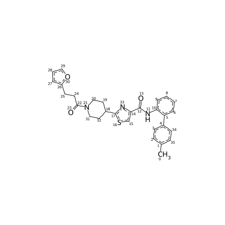 Cc1ccc(-c2ccccc2NC(=O)c2csc(C3CCN(C(=O)CCc4ccco4)CC3)n2)cc1